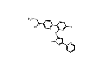 Cn1nc(-c2ccccn2)cc1Oc1cc(Cl)ccc1-c1ccc([C@@H](O)CN)cn1